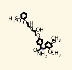 COc1ccc(/C=C(/C(N)=O)c2ccc(OCC(O)CNCCOc3ccccc3OC)cc2)c(OC)c1